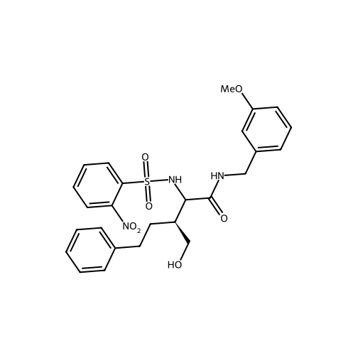 COc1cccc(CNC(=O)C(NS(=O)(=O)c2ccccc2[N+](=O)[O-])[C@@H](CO)CCc2ccccc2)c1